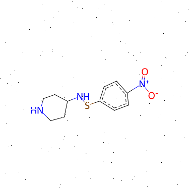 O=[N+]([O-])c1ccc(SNC2CCNCC2)cc1